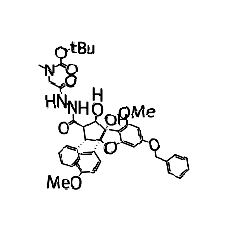 COc1ccc([C@@]23Oc4cc(OCc5ccccc5)cc(OC)c4[C@]2(O)[C@H](O)[C@H](C(=O)NNC(=O)CN(C)C(=O)OC(C)(C)C)[C@H]3c2ccccc2)cc1